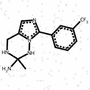 CC1(N)NCc2cnc(-c3cccc(C(F)(F)F)c3)n2N1